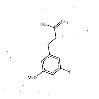 C=C(O)CCc1cc(F)cc(OC)c1